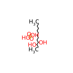 CCCCCCCCCC(O)C(O)CC.O=S(=O)(O)O